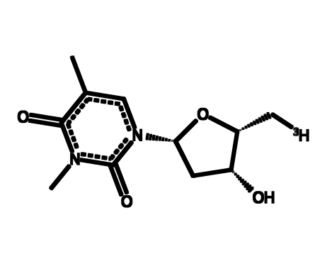 [3H]C[C@H]1O[C@@H](n2cc(C)c(=O)n(C)c2=O)C[C@H]1O